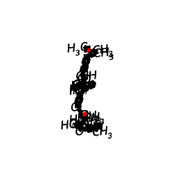 Cc1ncsc1-c1ccc(CNC(=O)[C@@H]2C[C@@H](O)CN2C(=O)[C@@H](NC(=O)CCCCC(=O)N2CCN(CC[C@H](CSc3ccccc3)Nc3ccc(S(=O)(=O)NC(=O)c4ccc(N5CCN(CC6=C(C78CC(C)(C7)C8)CC(C)(C)CC6)CC5)cc4)cc3S(=O)(=O)C(F)(F)F)CC2)C(C)(C)C)cc1